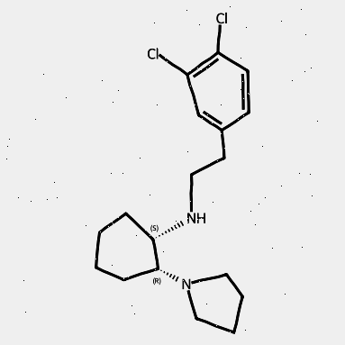 Clc1ccc(CCN[C@H]2CCCC[C@H]2N2CCCC2)cc1Cl